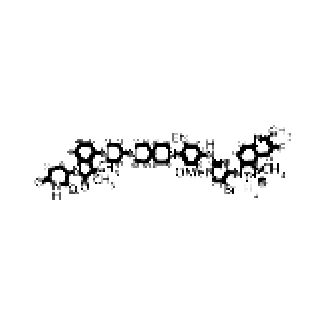 CCc1cc(Nc2ncc(Br)c(Nc3ccc4nc(C)c(F)cc4c3P(C)(C)=O)n2)c(OC)cc1N1CCC2(CC1)CCN(C1CCN(c3cccc4c3C(C)(C)C(=O)N4C3CCC(=O)NC3=O)CC1)CC2